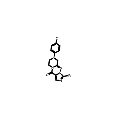 CC(C)c1ncc2c(=O)n3c(nn12)CN(c1ccc(Cl)cc1)CC3